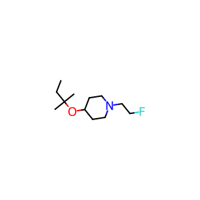 CCC(C)(C)OC1CCN(CCF)CC1